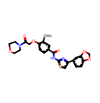 COc1cc(C(=O)Nc2nc(-c3ccc4c(c3)OCO4)cs2)ccc1OCC(=O)N1CCOCC1